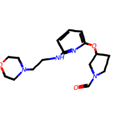 O=CN1CCC(Oc2cccc(NCCN3CCOCC3)n2)C1